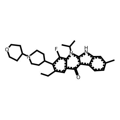 CCc1cc2c(=O)c3c4ccc(C)cc4[nH]c3n(C(C)C)c2c(F)c1C1CCN(C2CCOCC2)CC1